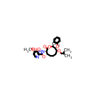 COc1ccnc(C(=O)N[C@H]2CCCC[C@H](OCC(C)C)[C@@H](Oc3ccccc3)[C@H](C)OC2=O)c1O